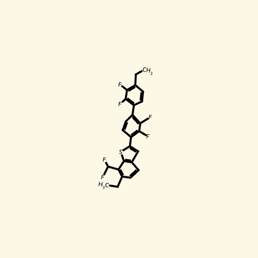 CCc1ccc(-c2ccc(-c3cc4ccc(CC)c(C(F)F)c4s3)c(F)c2F)c(F)c1F